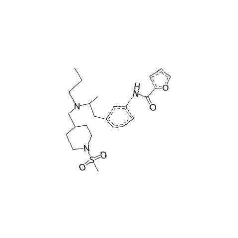 CCCN(CC1CCN(S(C)(=O)=O)CC1)C(C)Cc1cccc(NC(=O)c2ccco2)c1